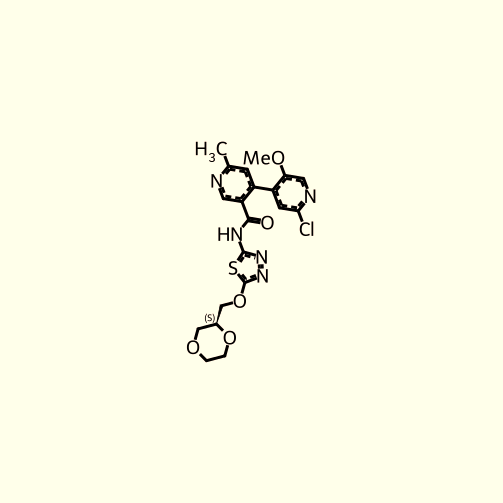 COc1cnc(Cl)cc1-c1cc(C)ncc1C(=O)Nc1nnc(OC[C@@H]2COCCO2)s1